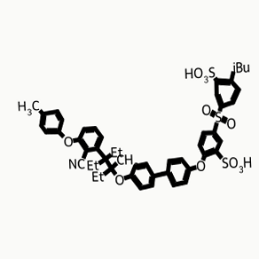 CCC(C)c1ccc(S(=O)(=O)c2ccc(Oc3ccc(-c4ccc(OC(C)(CC)C(CC)(CC)c5cccc(Oc6ccc(C)cc6)c5C#N)cc4)cc3)c(S(=O)(=O)O)c2)cc1S(=O)(=O)O